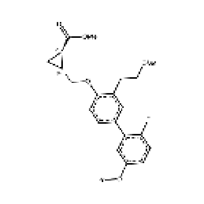 COCCc1cc(-c2cc(OC(C)C)ccc2F)ccc1OC[C@@H]1C[C@H]1C(=O)OC